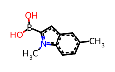 Cc1ccc2c(c1)cc(B(O)O)n2C